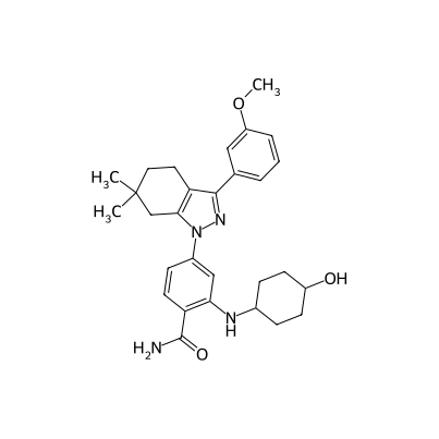 COc1cccc(-c2nn(-c3ccc(C(N)=O)c(NC4CCC(O)CC4)c3)c3c2CCC(C)(C)C3)c1